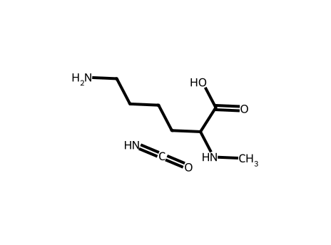 CNC(CCCCN)C(=O)O.N=C=O